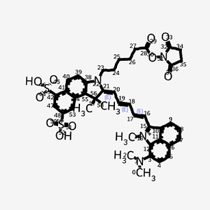 CN(C)c1ccc2cccc3c2c1[N+](C)=C3/C=C/C=C/C=C1/N(CCCCCC(=O)ON2C(=O)CCC2=O)c2ccc3c(S(=O)(=O)O)cc(S(=O)(=O)O)cc3c2C1(C)C